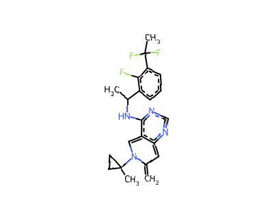 C=C1C=c2ncnc(NC(C)c3cccc(C(C)(F)F)c3F)c2=CN1C1(C)CC1